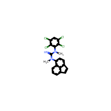 CN(C(=N)N(C)c1ccc2c3c(cccc13)C=C2)c1c(Cl)c(Cl)cc(Cl)c1Cl